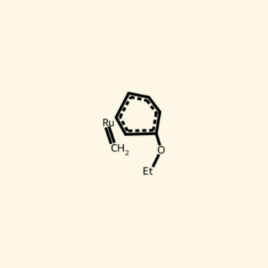 CCOc1ccccc1.[CH2]=[Ru]